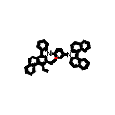 C=Cc1c(/C=C\C)c2c(c3ccc4ccccc4c13)c1ccccc1n2-c1ccc(-n2c3ccc4ccccc4c3c3c4ccccc4ccc32)cc1